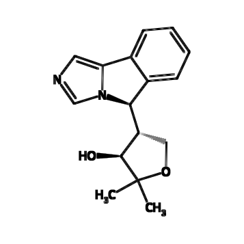 CC1(C)OC[C@@H]([C@@H]2c3ccccc3-c3cncn32)[C@@H]1O